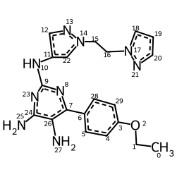 CCOc1ccc(-c2nc(Nc3cnn(CCn4cccn4)c3)nc(N)c2N)cc1